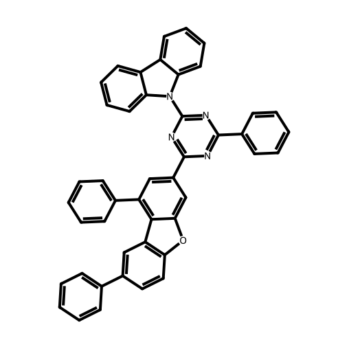 c1ccc(-c2ccc3oc4cc(-c5nc(-c6ccccc6)nc(-n6c7ccccc7c7ccccc76)n5)cc(-c5ccccc5)c4c3c2)cc1